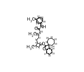 C=[N+](CCC1C(C)C[C@@H]1OC(=O)C1(c2ccccc2)CCCCCC1)CC(=O)Nc1cncc(C)n1